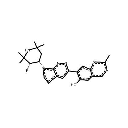 Cc1ncc2cc(O)c(-c3cc4ccn([C@H]5CC(C)(C)NC(C)(C)[C@H]5F)c4nn3)cc2n1